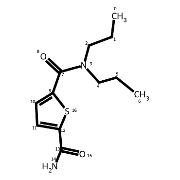 CCCN(CCC)C(=O)c1ccc(C(N)=O)s1